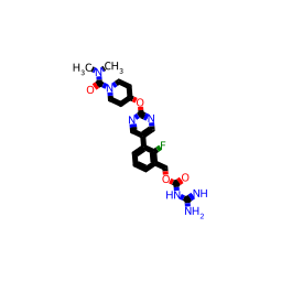 CN(C)C(=O)N1CCC(Oc2ncc(-c3cccc(COC(=O)NC(=N)N)c3F)cn2)CC1